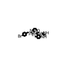 CCC(C(N)=O)(c1cc(NC2CNC2)ccc1C)n1cccc2nc(SCc3ccc(Br)cc3)nc1-2